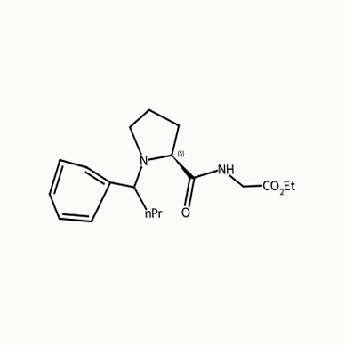 CCCC(c1ccccc1)N1CCC[C@H]1C(=O)NCC(=O)OCC